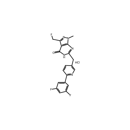 Cl.Cn1nc(CF)c2c(=O)[nH]c(Cc3ccc(-c4cc(F)cc(F)c4)nc3)nc21